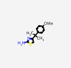 COc1ccc(C(C)(C)c2csc(N)n2)cc1